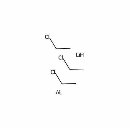 CCCl.CCCl.CCCl.[Al].[LiH]